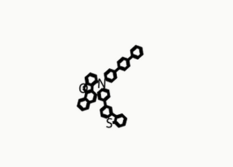 c1ccc(-c2ccc(-c3ccc(N(c4ccc(-c5ccc6sc7ccccc7c6c5)cc4)c4cccc5oc6c7ccccc7ccc6c45)cc3)cc2)cc1